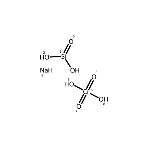 O=[Si](O)O.[NaH].[O]=[Cr](=[O])([OH])[OH]